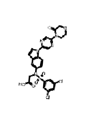 O=C(O)CN(c1ccc2c(ccn2-c2cnc(N3CCOCC3=O)cn2)c1)S(=O)(=O)c1cc(Cl)cc(Cl)c1